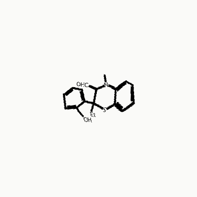 CCC1(c2ccccc2O)Sc2ccccc2N(C)C1C=O